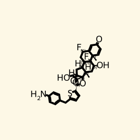 C[C@]12C=CC(=O)C=C1[C@@H](F)C[C@H]1[C@@H]3C[C@H]4O[C@@H](c5ccc(Cc6ccc(N)cc6)s5)O[C@@]4(C(=O)CO)[C@@]3(C)C[C@H](O)[C@@]12F